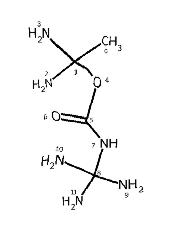 CC(N)(N)OC(=O)NC(N)(N)N